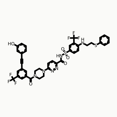 O=C(NS(=O)(=O)c1ccc(NCCSc2ccccc2)c(C(F)(F)F)c1)c1ccc(N2CCN(C(=O)c3cc(C#Cc4cccc(O)c4)cc(C(F)(F)F)c3)CC2)nn1